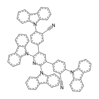 N#Cc1cc(-c2cc(-c3ccc(-n4c5ccccc5c5ccccc54)c(C#N)c3)c(-n3c4ccccc4c4ccccc43)nc2-n2c3ccccc3c3ccccc32)ccc1-n1c2ccccc2c2ccccc21